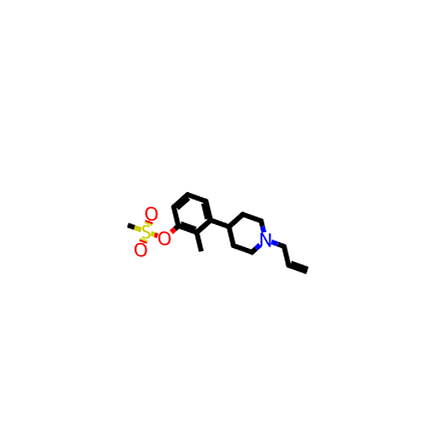 C=CCN1CCC(c2cccc(OS(C)(=O)=O)c2C)CC1